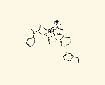 CCc1cccc(-c2cccc(OC(N)(NC(N)=O)C(=O)N(CC(=O)N(C)c3ccccc3)C(C)=O)c2)c1